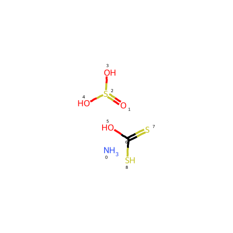 N.O=S(O)O.OC(=S)S